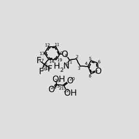 NC(CCc1ccoc1)Oc1cccc(C(F)(F)F)c1.O=C(O)C(=O)O